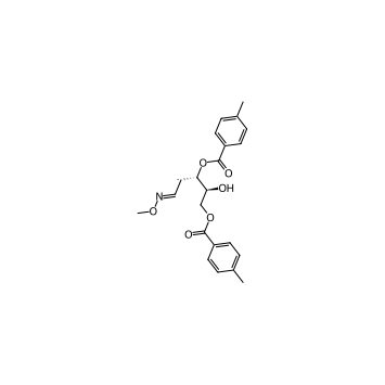 CON=C[CH][C@H](OC(=O)c1ccc(C)cc1)[C@@H](O)COC(=O)c1ccc(C)cc1